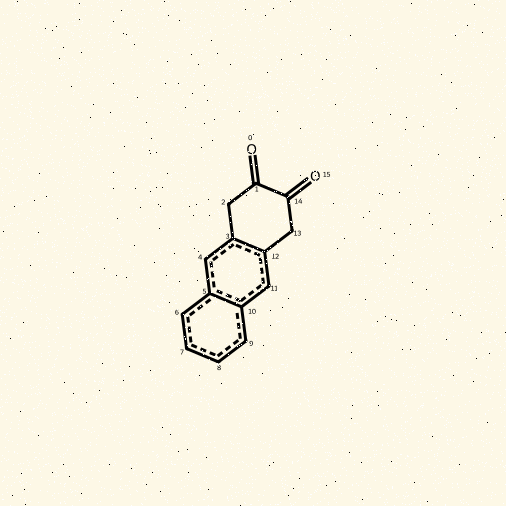 O=C1Cc2cc3ccccc3cc2CC1=O